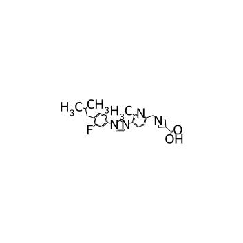 Cc1nc(CN2CC(C(=O)O)C2)ccc1N1C=CN(c2ccc(CC(C)C)c(F)c2)C1